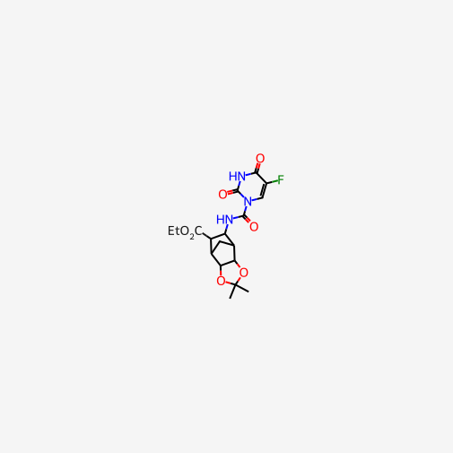 CCOC(=O)C1C2CC(C1NC(=O)n1cc(F)c(=O)[nH]c1=O)C1OC(C)(C)OC21